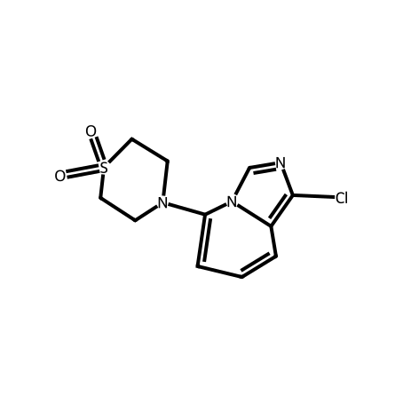 O=S1(=O)CCN(c2cccc3c(Cl)ncn23)CC1